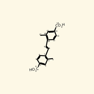 Cc1cc(C(=O)O)ccc1/C=C/c1ccc(C(=O)O)cc1C